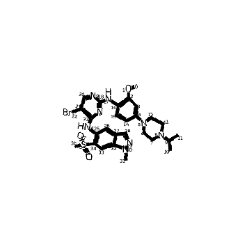 COc1cc(N2CCN(C(C)C)CC2)ccc1Nc1ncc(Br)c(Nc2cc3cnn(C)c3cc2S(C)(=O)=O)n1